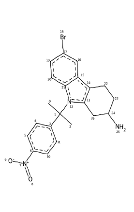 CC(C)(c1ccc([N+](=O)[O-])cc1)n1c2c(c3cc(Br)ccc31)CCC(N)C2